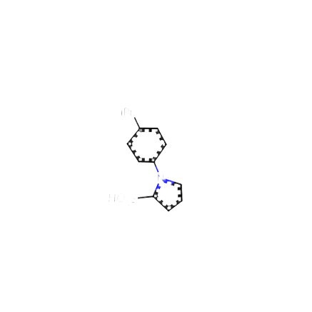 CC(C)c1ccc(-n2cccc2S(=O)(=O)O)cc1